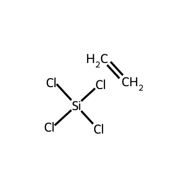 C=C.Cl[Si](Cl)(Cl)Cl